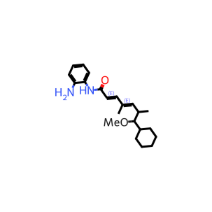 COC(C(C)/C=C(C)/C=C/C(=O)Nc1ccccc1N)C1CCCCC1